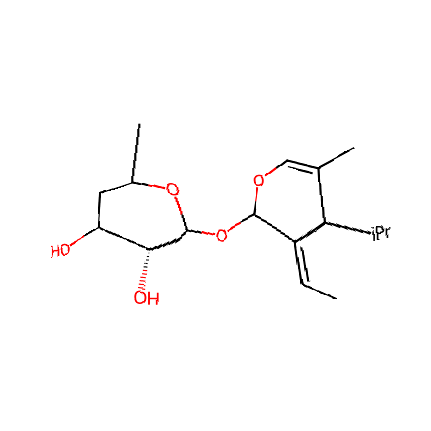 C/C=C1/C(OC2OC(C)CC(O)[C@H]2O)OC=C(C)C1C(C)C